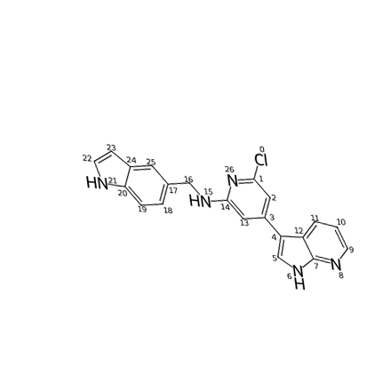 Clc1cc(-c2c[nH]c3ncccc23)cc(NCc2ccc3[nH]ccc3c2)n1